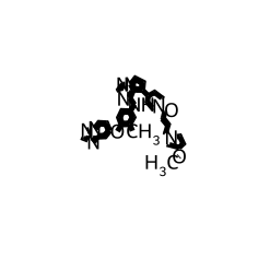 COC1CCN(C/C=C/C(=O)N2CCC(c3ccn4ncnc(Nc5ccc(Oc6ccn7ncnc7c6)c(C)c5)c34)CC2)C1